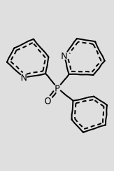 O=P(c1ccccc1)(c1ccccn1)c1ccccn1